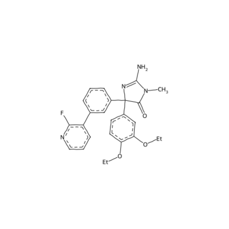 CCOc1ccc(C2(c3cccc(-c4cccnc4F)c3)N=C(N)N(C)C2=O)cc1OCC